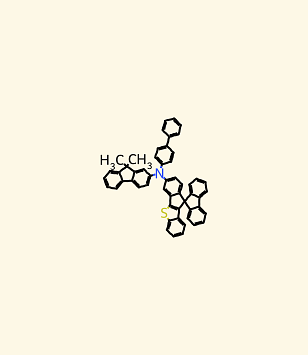 CC1(C)c2ccccc2-c2ccc(N(c3ccc(-c4ccccc4)cc3)c3ccc4c(c3)-c3sc5ccccc5c3C43c4ccccc4-c4ccccc43)cc21